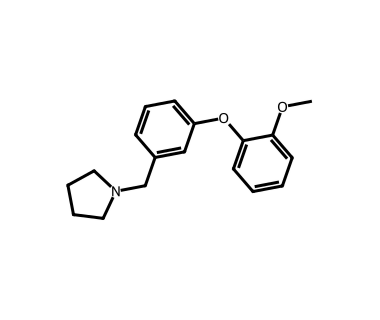 COc1ccccc1Oc1cccc(CN2CCCC2)c1